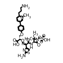 C[n+]1cc(-c2ccc(OC[C@H](O/N=C(\C(=O)N[C@@H]3C(=O)N(OS(=O)(=O)O)C3(C)C)c3csc(N)n3)C(=O)O)cc2)ccc1CCCN